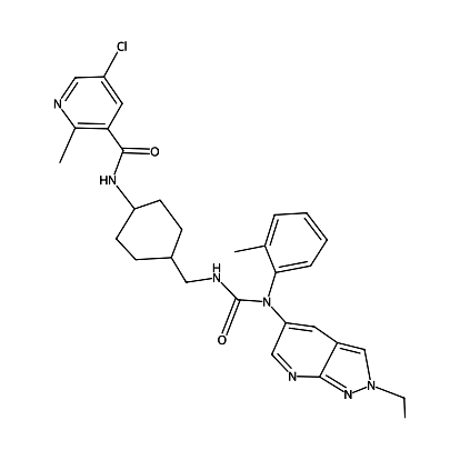 CCn1cc2cc(N(C(=O)NCC3CCC(NC(=O)c4cc(Cl)cnc4C)CC3)c3ccccc3C)cnc2n1